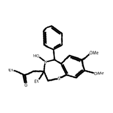 CCC(=O)CC1(CC)CSc2cc(OC)c(OC)cc2C(c2ccccc2)N1O